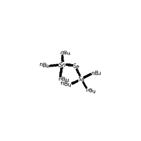 CCC[CH2][Sn]([CH2]CCC)([CH2]CCC)[Se][Sn]([CH2]CCC)([CH2]CCC)[CH2]CCC